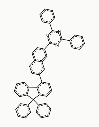 c1ccc(-c2nc(-c3ccccc3)nc(-c3ccc4ccc(-c5cccc6c5-c5ccccc5C6(c5ccccc5)c5ccccc5)cc4c3)n2)cc1